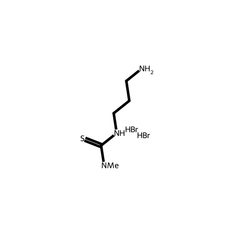 Br.Br.CNC(=S)NCCCN